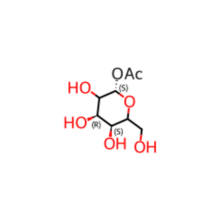 CC(=O)O[C@@H]1OC(CO)[C@@H](O)[C@@H](O)C1O